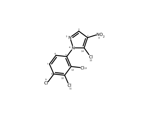 O=[N+]([O-])c1cnn(-c2ccc(Cl)c(Cl)c2Cl)c1Cl